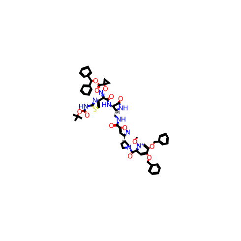 CO[n+]1cc(OCc2ccccc2)c(OCc2ccccc2)cc1C(=O)N1CC[C@H](c2cc(C(=O)NC[C@H]3NC(=O)[C@H]3NC(=O)/C(=N\OC3(C(=O)OC(c4ccccc4)c4ccccc4)CC3)c3csc(NC(=O)OC(C)(C)C)n3)on2)C1